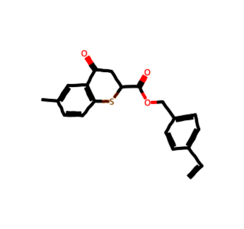 C=Cc1ccc(COC(=O)C2CC(=O)c3cc(C)ccc3S2)cc1